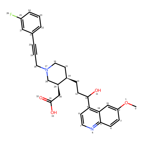 COc1ccc2nccc(C(O)CC[C@@H]3CCN(CC#Cc4cccc(F)c4)C[C@@H]3CC(=O)O)c2c1